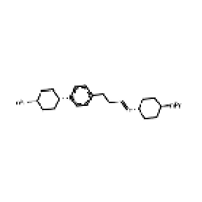 CCC[C@H]1CC[C@H](C=CCCc2ccc([C@H]3CC[C@H](CCC)CC3)cc2)CC1